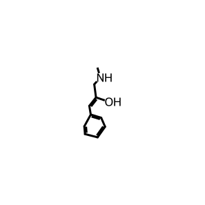 CNCC(O)=Cc1ccccc1